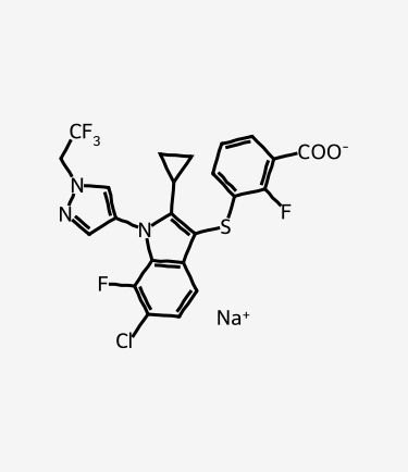 O=C([O-])c1cccc(Sc2c(C3CC3)n(-c3cnn(CC(F)(F)F)c3)c3c(F)c(Cl)ccc23)c1F.[Na+]